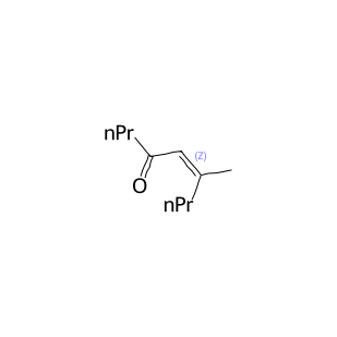 CCCC(=O)/C=C(/C)CCC